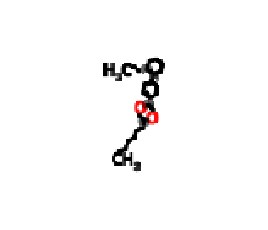 CCCCCCC[C@H]1CO[C@H](c2ccc([C@@H]3CCCC[C@H]3CCC)cc2)CO1